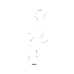 c1ccc2c(c1)SC(c1sccc1-c1ccsc1C1Sc3ccccc3S1)S2